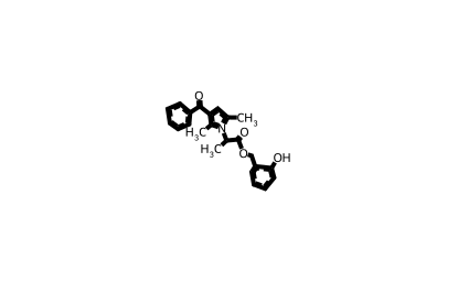 Cc1cc(C(=O)c2ccccc2)c(C)n1C(C)C(=O)OCc1ccccc1O